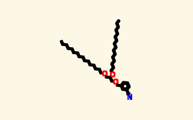 CCCCCCCCCCCCCCCCOCC(COCc1cccc(C#N)c1)OCCCCCCCCCCCCCCCC